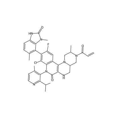 C=CC(=O)N1CC2CNc3c(c4cc(F)c(-c5c(C)ccc6[nH]c(=O)n(C)c56)c(Cl)c4n(-c4c(C)ccnc4C(C)C)c3=O)N2CC1C